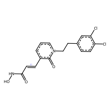 O=C(/C=C/c1cccn(CCc2ccc(Cl)c(Cl)c2)c1=O)NO